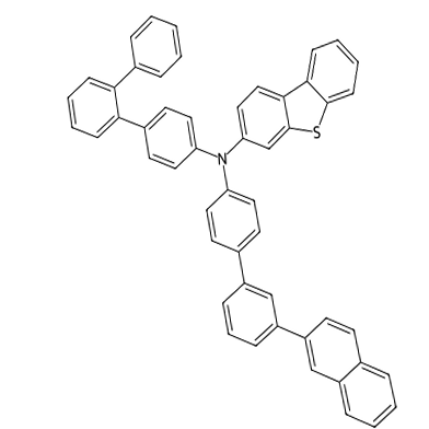 c1ccc(-c2ccccc2-c2ccc(N(c3ccc(-c4cccc(-c5ccc6ccccc6c5)c4)cc3)c3ccc4c(c3)sc3ccccc34)cc2)cc1